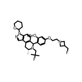 COc1cc(OCCN2CC(CF)C2)ccc1C1c2ccc3c(cnn3C3CCCCO3)c2C[C@@H](C)N1CC(C)(C)F